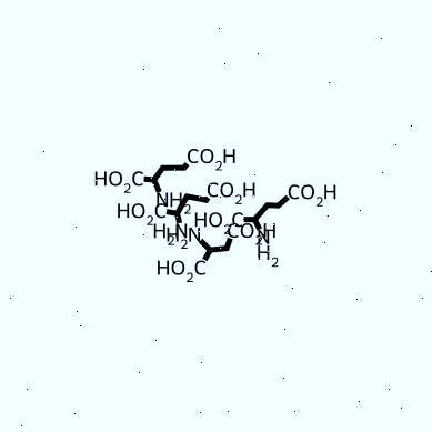 NC(CC(=O)O)C(=O)O.NC(CCC(=O)O)C(=O)O.NC(CCC(=O)O)C(=O)O.NC(CCC(=O)O)C(=O)O